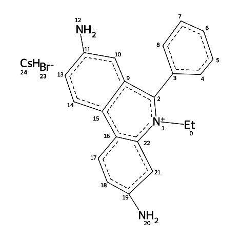 CC[n+]1c(-c2ccccc2)c2cc(N)ccc2c2ccc(N)cc21.[Br-].[CsH]